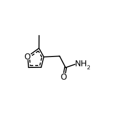 Cc1occc1CC(N)=O